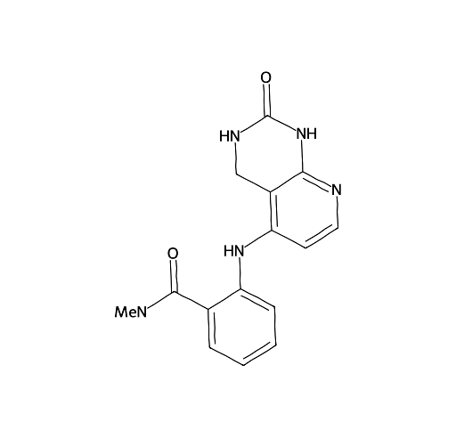 CNC(=O)c1ccccc1Nc1ccnc2c1CNC(=O)N2